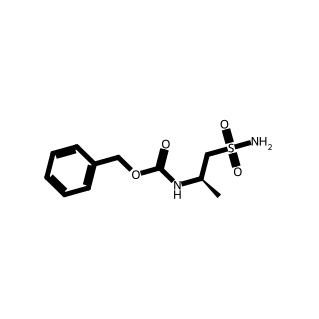 C[C@H](CS(N)(=O)=O)NC(=O)OCc1ccccc1